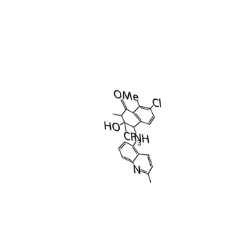 C=C1c2c(ccc(Cl)c2OC)C(Nc2cccc3nc(C)ccc23)C(O)(C(F)(F)F)C1C